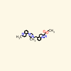 CCOC(=O)c1ncn2c1CCc1c(CCN3CCN(c4cccc5nc(C)ccc45)C[C@H]3C)cccc1-2